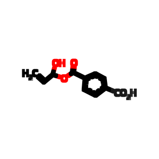 C=CC(O)OC(=O)c1ccc(C(=O)O)cc1